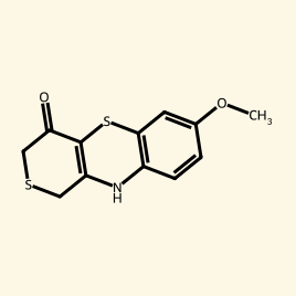 COc1ccc2c(c1)SC1=C(CSCC1=O)N2